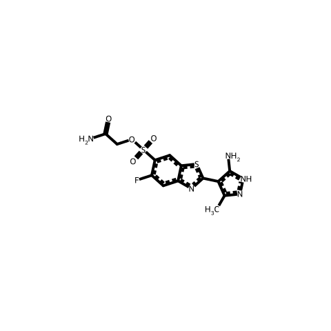 Cc1n[nH]c(N)c1-c1nc2cc(F)c(S(=O)(=O)OCC(N)=O)cc2s1